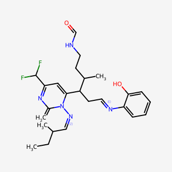 C=C1N=C(C(F)F)C=C(C(C/C=N/c2ccccc2O)C(C)CCNC=O)N1/N=C\C(C)CC